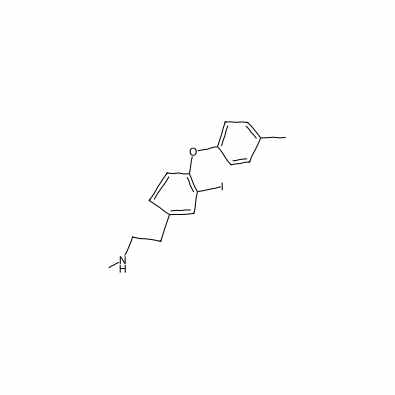 CNCCc1ccc(Oc2ccc(C)cc2)c(I)c1